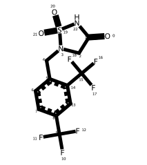 O=C1CN(Cc2ccc(C(F)(F)F)cc2C(F)(F)F)S(=O)(=O)N1